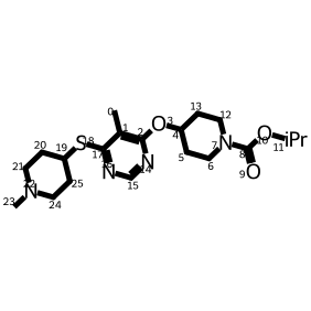 Cc1c(OC2CCN(C(=O)OC(C)C)CC2)ncnc1SC1CCN(C)CC1